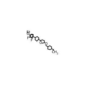 C=CC1CCC(COC2CCC(C3CCC(c4ccc(OCC)c(F)c4F)CC3)OC2)CC1